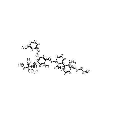 Cc1c(COc2cc(OCc3cncc(C#N)c3)c(CN[C@@](C)(CO)C(=O)O)cc2Cl)cccc1-c1cccc(OCCCBr)c1C